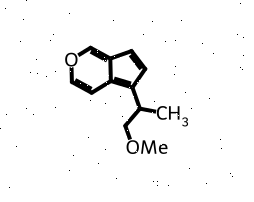 COCC(C)c1ccc2coccc1-2